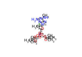 CNc1nc(N)nc2c1ncn2[C@@H]1O[C@@H](COP(=O)(OCOC(=O)C(C)(C)C)OCOC(=O)C(C)(C)C)[CH][C@@]1(C)F